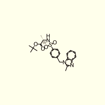 Cc1nc2ccccc2n1Cc1ccc(S(=O)(=O)N[C@@H](C)C(=O)OC(C)(C)C)cc1